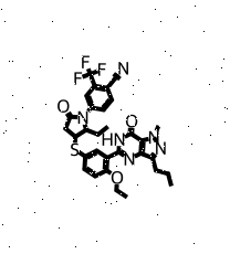 CCCc1nn(C)c2c(=O)[nH]c(-c3cc(SC4CC(=O)N(c5ccc(C#N)c(C(F)(F)F)c5)C4CC)ccc3OCC)nc12